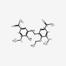 CCOc1c(CNc2cc(C(C)=O)cc(OC)c2O)cc(C(C)=O)cc1OC